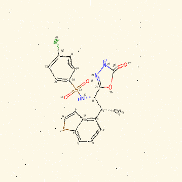 C[C@H](c1cccc2sccc12)[C@H](NS(=O)(=O)c1ccc(Br)cc1)c1n[nH]c(=O)o1